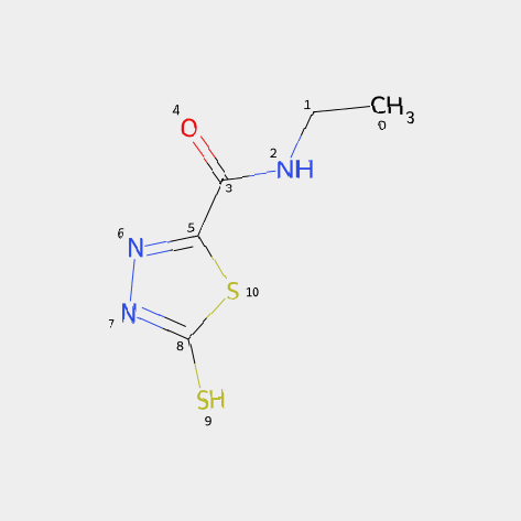 CCNC(=O)c1nnc(S)s1